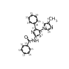 Cc1cn(-c2sc(NC(=O)c3ccccc3)nc2-c2ccccc2)cn1